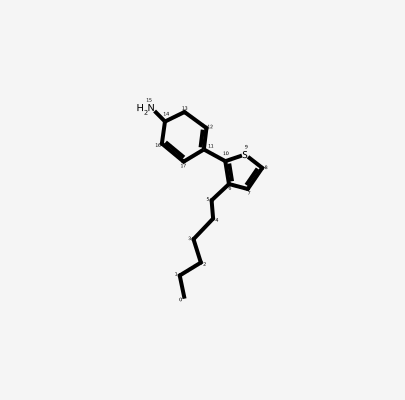 CCCCCCc1ccsc1C1=CCC(N)C=C1